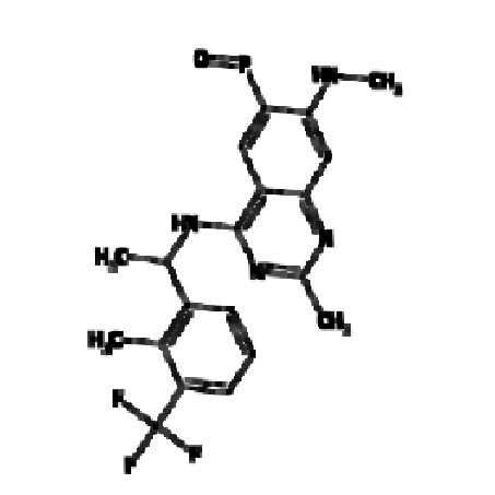 CNc1cc2nc(C)nc(NC(C)c3cccc(C(F)(F)F)c3C)c2cc1P=O